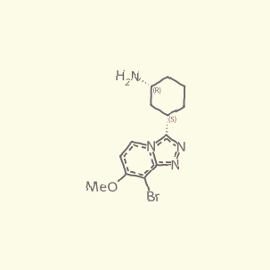 COc1ccn2c([C@H]3CCC[C@@H](N)C3)nnc2c1Br